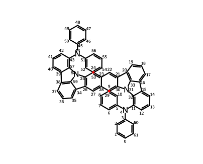 c1ccc(N(c2ccccc2)c2cccc3c4cccc5c6cc7cc8c(cc7cc6n(c23)c54)c2cccc3c4cccc(N(c5ccccc5)c5ccccc5)c4n8c23)cc1